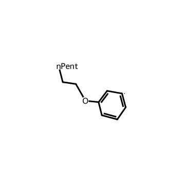 CCCCCCCOc1c[c]ccc1